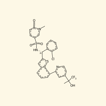 Cn1cc(S(=O)(=O)N[C@@H](c2cc3cccc(-c4cc(C(C)(O)C(F)(F)F)ccn4)c3s2)c2ccccc2Cl)ccc1=O